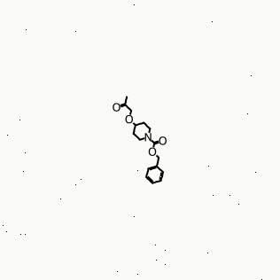 CC(=O)COC1CCN(C(=O)OCc2ccccc2)CC1